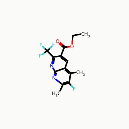 CCOC(=O)c1cc2c(C)c(F)c(C)nc2nc1C(F)(F)F